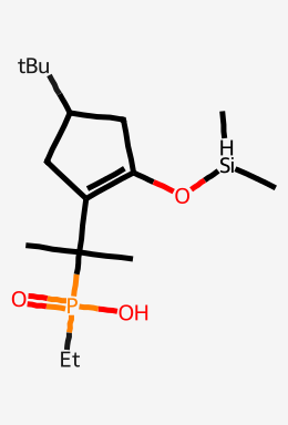 CCP(=O)(O)C(C)(C)C1=C(O[SiH](C)C)CC(C(C)(C)C)C1